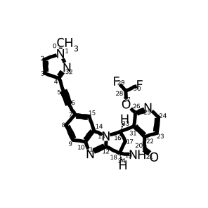 Cn1ccc(C#Cc2ccc3nc4n(c3c2)[C@@H]2C[C@H]4NC(=O)c3ccnc(OC(F)F)c32)n1